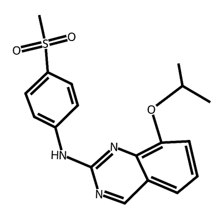 CC(C)Oc1cccc2cnc(Nc3ccc(S(C)(=O)=O)cc3)nc12